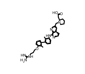 Cc1c(Nc2nccc3cc(CN4CCCCC4CC(=O)O)cnc23)cccc1-c1cccc(OCCCNC(=N)N)c1C